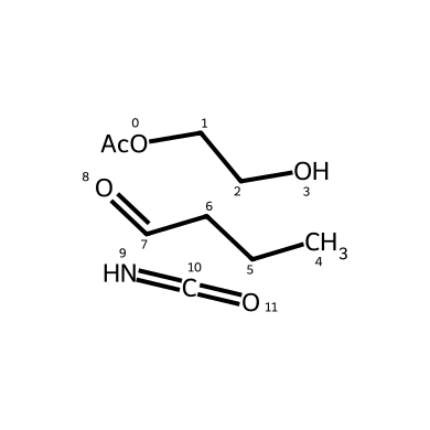 CC(=O)OCCO.CCCC=O.N=C=O